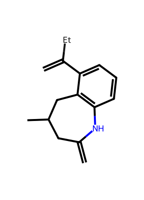 C=C1CC(C)Cc2c(cccc2C(=C)CC)N1